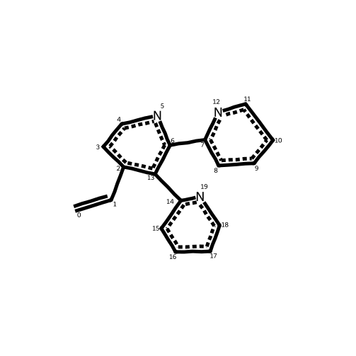 C=Cc1ccnc(-c2ccccn2)c1-c1ccccn1